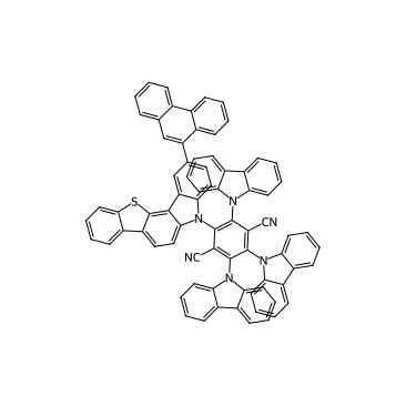 N#Cc1c(-n2c3ccccc3c3ccccc32)c(-n2c3ccccc3c3ccccc32)c(C#N)c(-n2c3ccc(-c4cc5ccccc5c5ccccc45)cc3c3c4sc5ccccc5c4ccc32)c1-n1c2ccccc2c2ccccc21